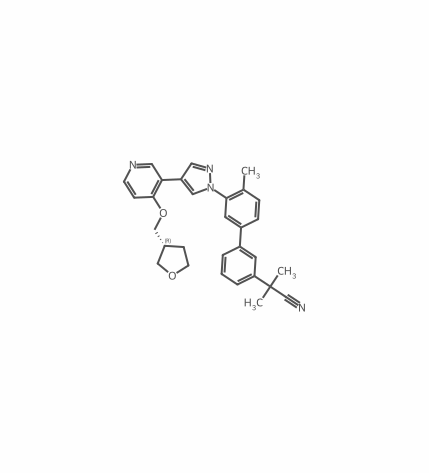 Cc1ccc(-c2cccc(C(C)(C)C#N)c2)cc1-n1cc(-c2cnccc2OC[C@@H]2CCOC2)cn1